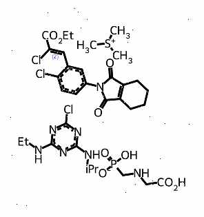 CCNc1nc(Cl)nc(NC(C)C)n1.CCOC(=O)/C(Cl)=C/c1cc(N2C(=O)C3=C(CCCC3)C2=O)ccc1Cl.C[S+](C)C.O=C(O)CNCP(=O)([O-])O